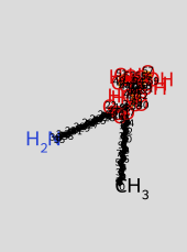 CCCCCCCCCCCCCCCC(=O)O[C@H](COC(=O)CCCCCCCCCCCCCN)COP(=O)(O)OC1C(O)[C@@H](OP(=O)(O)O)C(O)[C@@H](OP(=O)(O)O)[C@H]1O